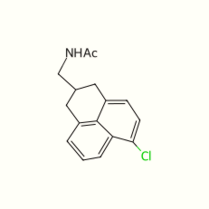 CC(=O)NCC1Cc2cccc3c(Cl)ccc(c23)C1